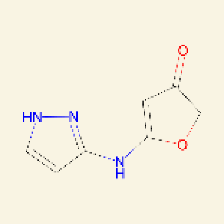 O=C1C=C(Nc2cc[nH]n2)OC1